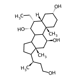 CC[C@H]1[C@@H](O)C2C3CCC([C@H](C)CCO)[C@@]3(C)C[C@H](O)C2[C@@]2(C)CC[C@@H](O)C[C@@H]12